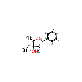 [2H]CC(O)(C[2H])C([2H])OCc1ccccc1